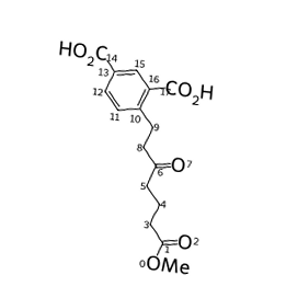 COC(=O)CCCC(=O)CCc1ccc(C(=O)O)cc1C(=O)O